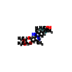 CO[C@H]1COc2cc3c(N[C@H](C)c4cccc(C(F)(F)C(C)(C)O)c4F)nnc(C)c3cc2OC[C@H]1OC